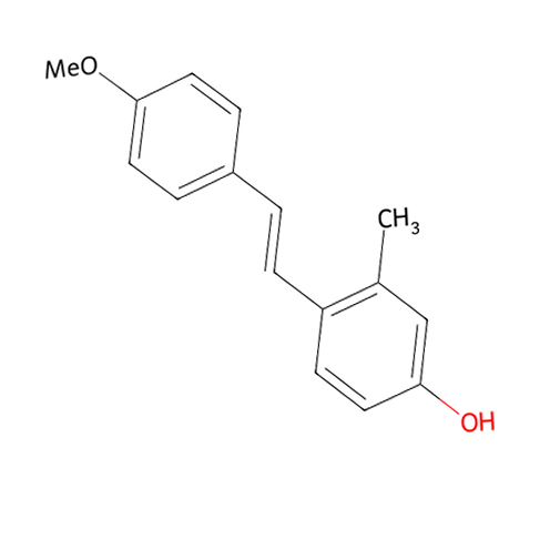 COc1ccc(C=Cc2ccc(O)cc2C)cc1